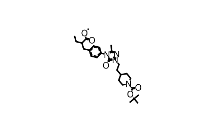 CCC(Cc1ccc(-n2c(C)nn(CCC3CCN(C(=O)OC(C)(C)C)CC3)c2=O)cc1)C(=O)OC